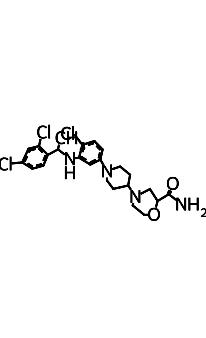 CC(Nc1cc(N2CCC(N3CCOC(C(N)=O)C3)CC2)ccc1Cl)c1ccc(Cl)cc1Cl